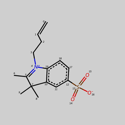 C=CCC[N+]1=C(C)C(C)(C)c2cc(S(=O)(=O)[O-])ccc21